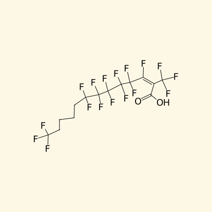 O=C(O)C(=C(F)C(F)(F)C(F)(F)C(F)(F)C(F)(F)C(F)(F)CCCCC(F)(F)F)C(F)(F)F